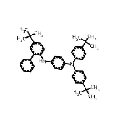 CC(C)(C)c1ccc(N(c2ccc(Nc3ccc(C(C)(C)C)cc3-c3ccccc3)cc2)c2ccc(C(C)(C)C)cc2)cc1